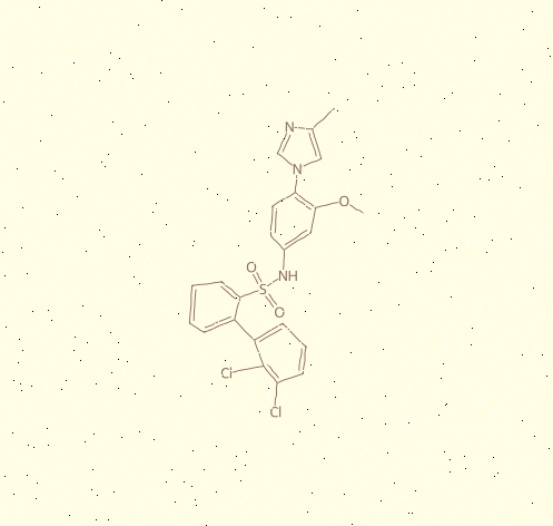 COc1cc(NS(=O)(=O)c2ccccc2-c2cccc(Cl)c2Cl)ccc1-n1cnc(C)c1